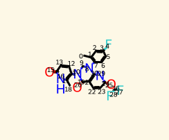 Cc1cc(F)ccc1N1CN(c2ccc(=O)[nH]c2C)C(=O)c2ccc(OC(F)F)nc21